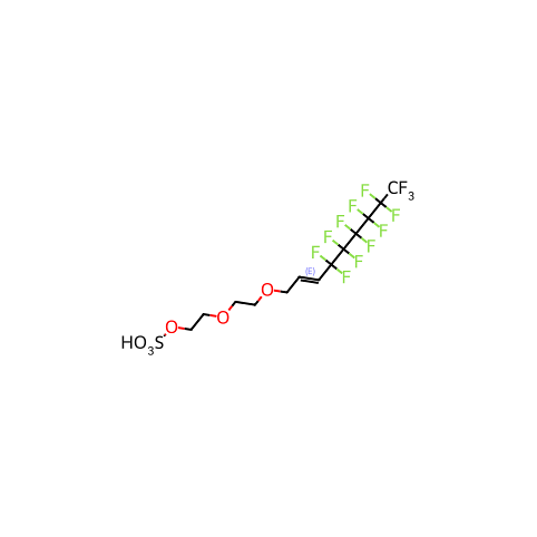 O=S(=O)(O)OCCOCCOC/C=C/C(F)(F)C(F)(F)C(F)(F)C(F)(F)C(F)(F)C(F)(F)F